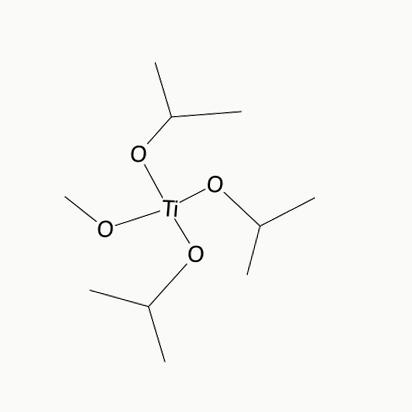 C[O][Ti]([O]C(C)C)([O]C(C)C)[O]C(C)C